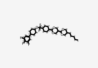 CCCCCC1COC(C2COC(C3CCC(C(F)(F)OC4CCC(c5cc(F)c(F)c(F)c5)CC4)CC3)OC2)OC1